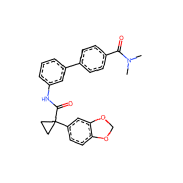 CN(C)C(=O)c1ccc(-c2cccc(NC(=O)C3(c4ccc5c(c4)OCO5)CC3)c2)cc1